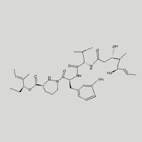 C/C=C/[C@@H](O)C(C)[C@@H](O)CC(=O)N[C@H](C(=O)N[C@@H](Cc1cccc(O)c1)C(=O)N1CCC[C@@H](C(=O)O[C@@H](CC)/C(C)=C/C)N1)C(C)C